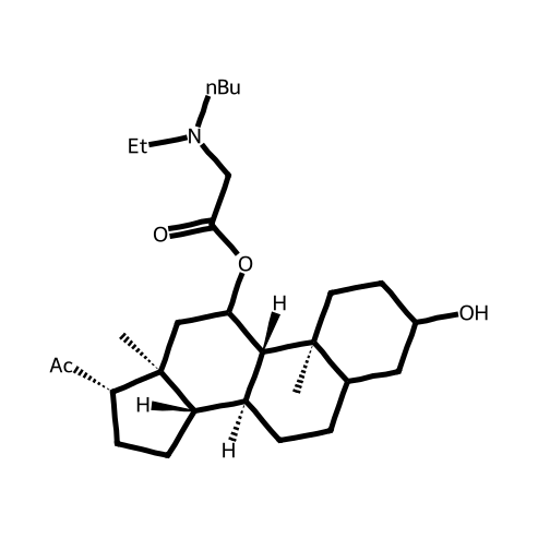 CCCCN(CC)CC(=O)OC1C[C@]2(C)[C@@H](C(C)=O)CC[C@H]2[C@@H]2CCC3CC(O)CC[C@]3(C)[C@@H]12